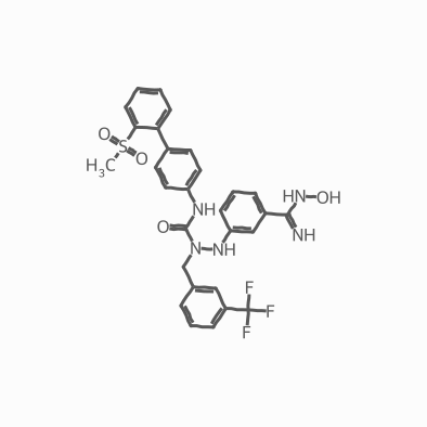 CS(=O)(=O)c1ccccc1-c1ccc(NC(=O)N(Cc2cccc(C(F)(F)F)c2)Nc2cccc(C(=N)NO)c2)cc1